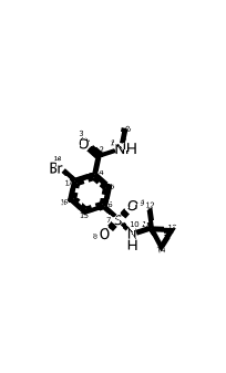 CNC(=O)c1cc(S(=O)(=O)NC2(C)CC2)ccc1Br